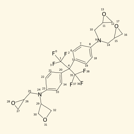 FC(F)(F)C(c1ccc(N(CC2CO2)CC2CO2)cc1)(c1ccc(N(CC2CO2)C2COC2)cc1)C(F)(F)F